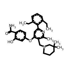 CCc1cccc(CC)c1-c1cc(Oc2ccc(C(N)=O)c(O)c2)c(CN2CCCC(C)(C)C2)c(C)n1